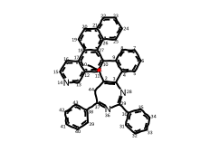 CCC1=C(c2ccccc2-c2cc3cnccc3c3ccc4ccccc4c23)N=C(c2ccccc2)N=C(c2ccccc2)C1